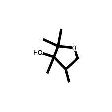 CC1COC(C)(C)C1(C)O